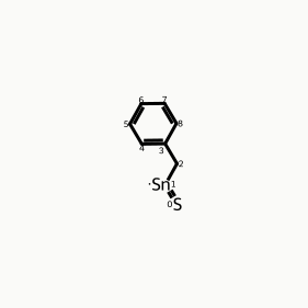 [S]=[Sn][CH2]c1ccccc1